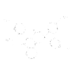 COc1ccc(C2(c3ccc(OC)cc3)CC(=O)c3c(-c4ccc(OC)cc4OC)c(OC(C)=O)c4ccccc4c3O2)cc1